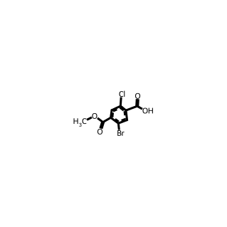 COC(=O)c1cc(Cl)c(C(=O)O)cc1Br